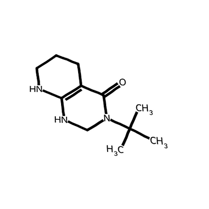 CC(C)(C)N1CNC2=C(CCCN2)C1=O